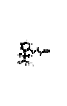 NC(=O)C(F)(F)c1ccccc1OCCO